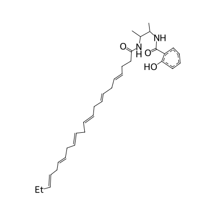 CCC=CCC=CCC=CCC=CCC=CCC=CCCC(=O)NC(C)C(C)NC(=O)c1ccccc1O